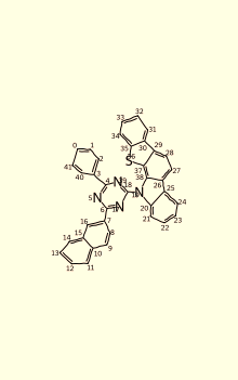 c1ccc(-c2nc(-c3ccc4ccccc4c3)nc(-n3c4ccccc4c4ccc5c6ccccc6sc5c43)n2)cc1